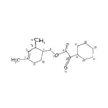 CC1=CC(C)C(COC(=O)C(=O)C2CCCCC2)CC1